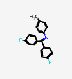 Cc1ccc(N=C(c2ccc(F)cc2)c2ccc(F)cc2)cc1